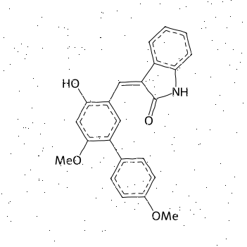 COc1ccc(-c2cc(C=C3C(=O)Nc4ccccc43)c(O)cc2OC)cc1